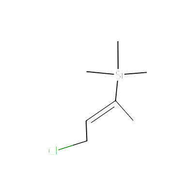 C/C(=C\CCl)[Si](C)(C)C